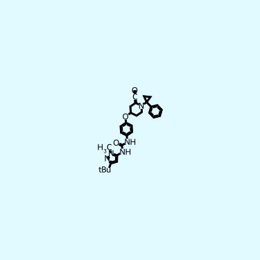 Cn1nc(C(C)(C)C)cc1NC(=O)Nc1ccc(OC2CCN(C3(c4ccccc4)CC3)C(=C=O)C2)cc1